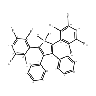 C[Si]1(C)C(c2c(F)c(F)nc(F)c2F)=C(c2ccccc2)C(c2ccccc2)=C1c1c(F)c(F)nc(F)c1F